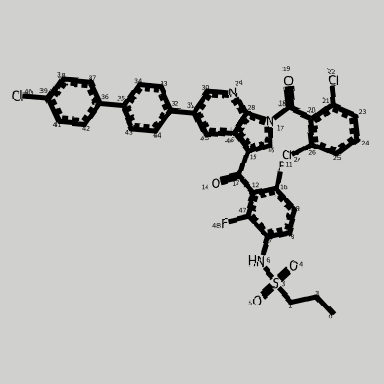 CCCS(=O)(=O)Nc1ccc(F)c(C(=O)c2cn(C(=O)c3c(Cl)cccc3Cl)c3ncc(-c4ccc(-c5ccc(Cl)cc5)cc4)cc23)c1F